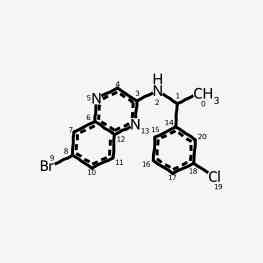 CC(Nc1cnc2cc(Br)ccc2n1)c1cccc(Cl)c1